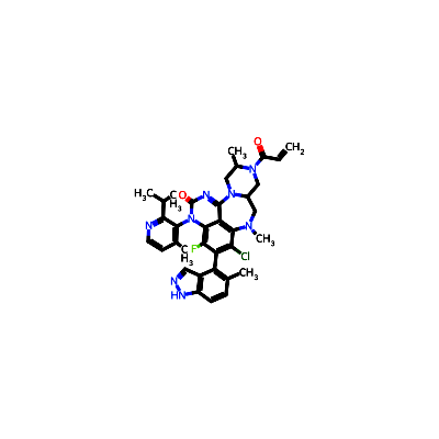 C=CC(=O)N1CC2CN(C)c3c(Cl)c(-c4c(C)ccc5[nH]ncc45)c(F)c4c3c(nc(=O)n4-c3c(C)ccnc3C(C)C)N2CC1C